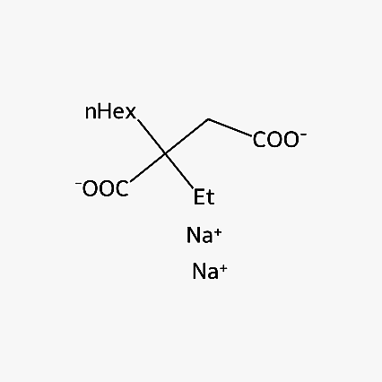 CCCCCCC(CC)(CC(=O)[O-])C(=O)[O-].[Na+].[Na+]